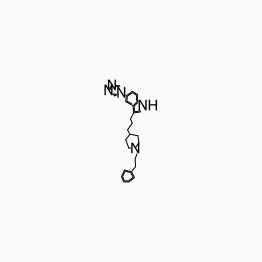 c1ccc(CCCN2CCC(CCCc3c[nH]c4ccc(-n5cnnc5)cc34)CC2)cc1